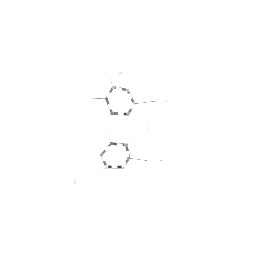 CCCC(C)c1cc(Sc2cc(C(C)CCC)cc(C(C)CCC)c2O)c(O)c(C(C)CCC)c1